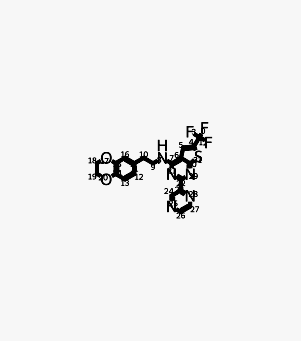 FC(F)(F)c1cc2c(NCCc3ccc4c(c3)OCCO4)nc(-c3cnccn3)nc2s1